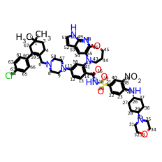 CC1(C)CCC(CN2CCN(c3ccc(C(=O)NS(=O)(=O)c4ccc(N[C@H]5CC[C@H](N6CCOCC6)CC5)c([N+](=O)[O-])c4)c(N4CCCOc5nc6[nH]ccc6cc54)c3)CC2)=C(c2ccc(Cl)cc2)C1